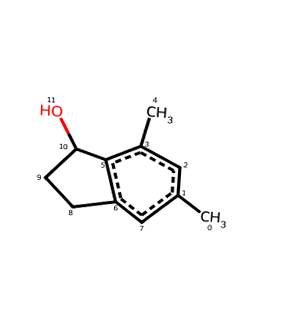 Cc1cc(C)c2c(c1)CCC2O